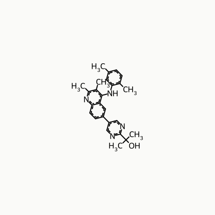 Cc1ccc(C)c(Nc2c(C)c(C)nc3ccc(-c4cnc(C(C)(C)O)nc4)cc23)c1